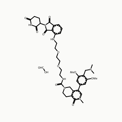 COc1cc(-c2cn(C)c(=O)c3c2CN(C(=O)NCCOCCOCCNc2cccc4c2C(=O)N(C2CCC(=O)NC2=O)C4=O)CC3)cc(OC)c1CN(C)C.O=CO